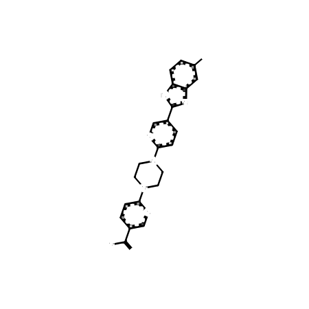 NC(=O)c1ccc(N2CCN(c3ccc(-c4nc5cc(Cl)ccc5[nH]4)cn3)CC2)nc1